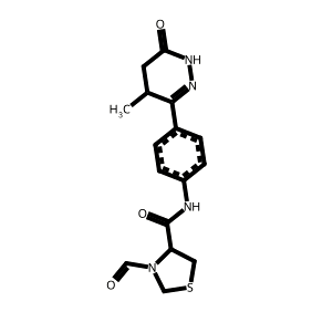 CC1CC(=O)NN=C1c1ccc(NC(=O)C2CSCN2C=O)cc1